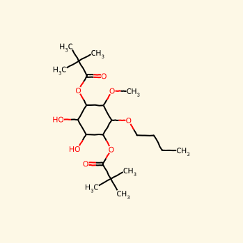 CCCCOC1C(OC(=O)C(C)(C)C)C(O)C(O)C(OC(=O)C(C)(C)C)C1OC